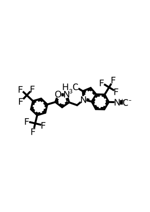 [C-]#[N+]c1ccc2c(cc(C)n2Cc2cc(-c3cc(C(F)(F)F)cc(C(F)(F)F)c3)on2)c1C(F)(F)F